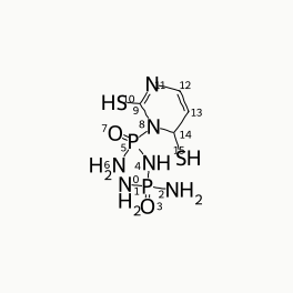 NP(N)(=O)NP(N)(=O)N1C(S)=NC=CC1S